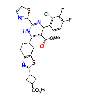 COC(=O)C1=C(C2CCc3nc([C@H]4C[C@H](C(=O)O)C4)sc3C2)NC(c2nccs2)=NC1c1ccc(F)c(F)c1Cl